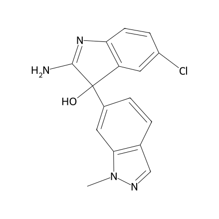 Cn1ncc2ccc(C3(O)C(N)=Nc4ccc(Cl)cc43)cc21